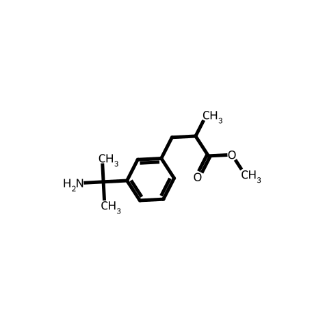 COC(=O)C(C)Cc1cccc(C(C)(C)N)c1